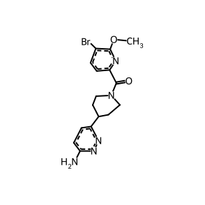 COc1nc(C(=O)N2CCC(c3ccc(N)nn3)CC2)ccc1Br